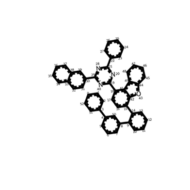 c1ccc(-c2cccc(-c3ccccc3-c3ccc(-c4nc(-c5ccccc5)nc(-c5ccc6ccccc6c5)n4)c4c3oc3ccccc34)c2)cc1